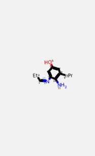 CC/C=N\c1cc(O)cc(CCC)c1N